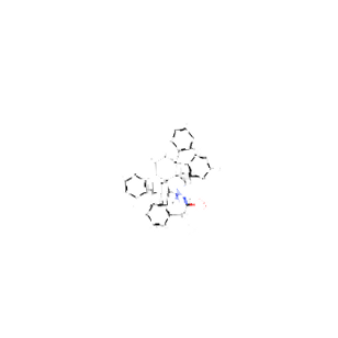 COc1ccccc1[C@H]1CCC(c2ccccc2)(c2ccccc2)[C@H]2CN(C(=O)[C@@H](C)c3ccccc3)C[C@@H]12